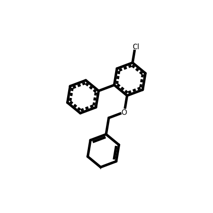 Clc1ccc(OCC2=CC[CH]C=C2)c(-c2ccccc2)c1